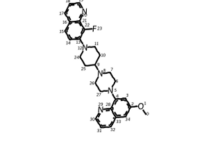 COc1cc(N2CCN(C3CCN(c4ccc5cccnc5c4F)CC3)CC2)c2ncccc2c1